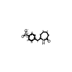 O=C1CCCCC(Cc2ccc([N+](=O)[O-])cc2)N1